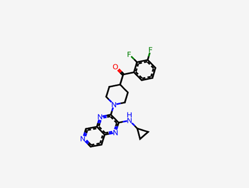 O=C(c1cccc(F)c1F)C1CCN(c2nc3cnccc3nc2NC2CC2)CC1